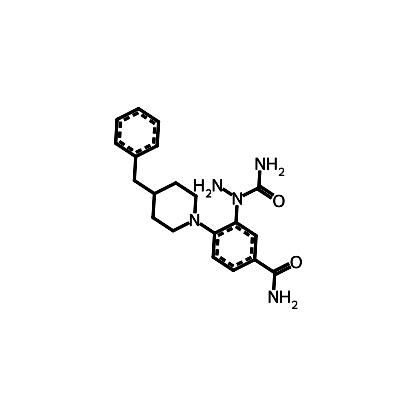 NC(=O)c1ccc(N2CCC(Cc3ccccc3)CC2)c(N(N)C(N)=O)c1